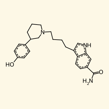 NC(=O)c1ccc2c(CCCCN3CCCC(c4ccc(O)cc4)C3)c[nH]c2c1